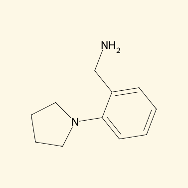 NCc1ccccc1N1CCCC1